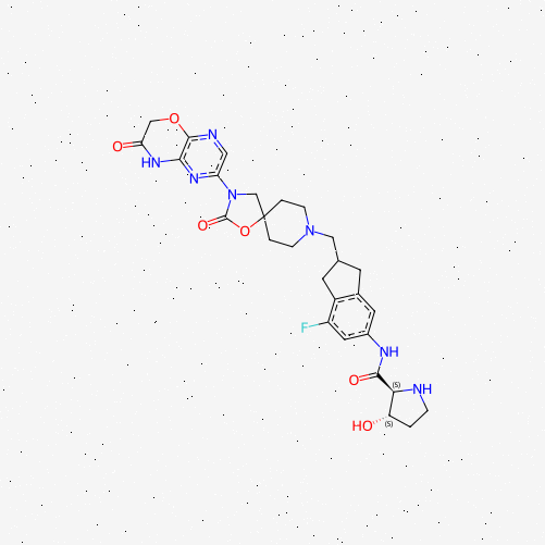 O=C1COc2ncc(N3CC4(CCN(CC5Cc6cc(NC(=O)[C@H]7NCC[C@@H]7O)cc(F)c6C5)CC4)OC3=O)nc2N1